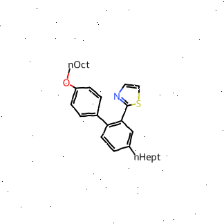 CCCCCCCCOc1ccc(-c2ccc(CCCCCCC)cc2-c2nccs2)cc1